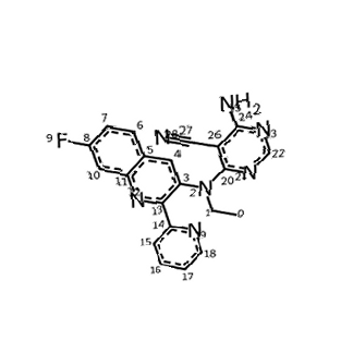 CCN(c1cc2ccc(F)cc2nc1-c1ccccn1)c1ncnc(N)c1C#N